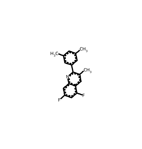 Cc1cc(C)cc(-c2nc3cc(F)cc(F)c3cc2C)c1